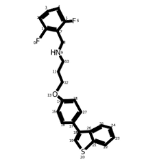 Fc1cccc(F)c1CNCCCOc1ccc(-c2csc3ccccc23)cc1